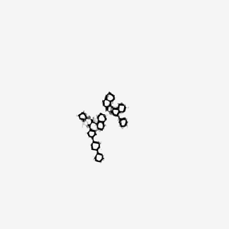 c1ccc(-c2ccc(-c3ccc(-c4nc5ccccc5nc4-c4cccc5cc(-n6c7ccc8ccccc8c7c7c8ccccc8c(-c8ccccc8)cc76)ccc45)cc3)cc2)cc1